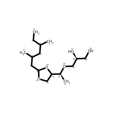 CCC(C)CC(C)CC1OCC([C@H](C)OC[C@@H](O)CO)O1